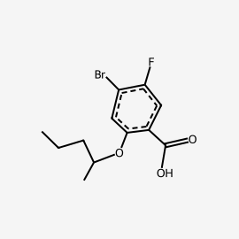 CCCC(C)Oc1cc(Br)c(F)cc1C(=O)O